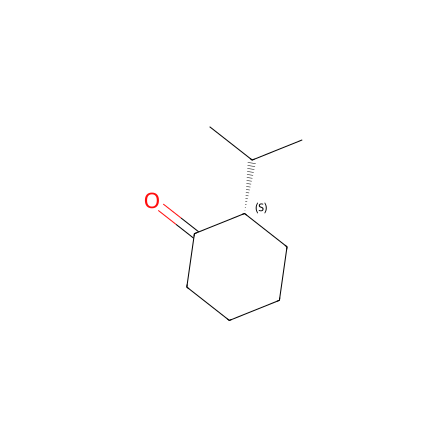 CC(C)[C@@H]1CCCCC1=O